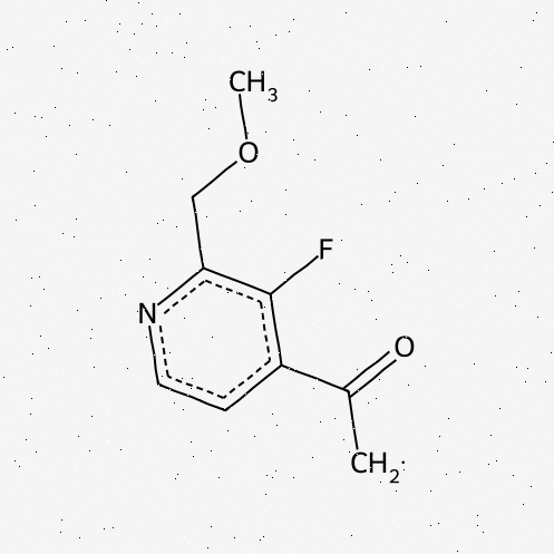 [CH2]C(=O)c1ccnc(COC)c1F